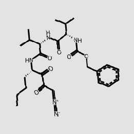 CCCC[C@H](NC(=O)[C@@H](NC(=O)[C@@H](NC(=O)OCc1ccccc1)C(C)C)C(C)C)C(=O)C(=O)C=[N+]=[N-]